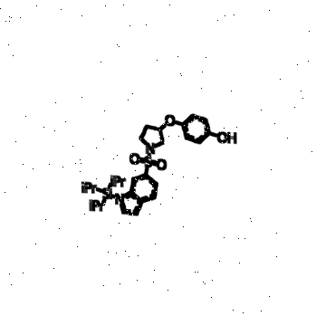 CC(C)[Si](C(C)C)(C(C)C)n1ccc2ccc(S(=O)(=O)N3CCC(Oc4ccc(O)cc4)C3)cc21